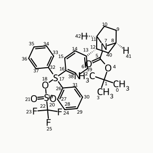 CC(C)(C)OC(=O)N1[C@H]2CC[C@@H]1[C@@H](c1ccc(S(OS(=O)(=O)C(F)(F)F)(c3ccccc3)c3ccccc3)nc1)C2